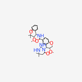 COC1COc2ccc(C(=O)N[C@@H]3c4ccccc4OC(C)(C)[C@H]3OC)cc2C1N1C(=N)NC(C)(C)CC1=O